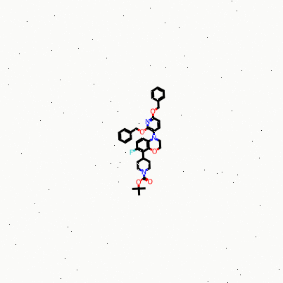 CC(C)(C)OC(=O)N1CCC(c2c(F)ccc3c2OCCN3c2ccc(OCc3ccccc3)nc2OCc2ccccc2)CC1